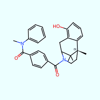 CN(C(=O)c1ccc(C(=O)N2CC[C@@]3(C)c4cccc(O)c4CC2C3(C)C)cc1)c1ccccc1